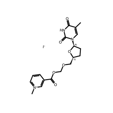 Cc1cn([C@H]2CC[C@@H](COCOC(=O)c3ccc[n+](C)c3)O2)c(=O)[nH]c1=O.[I-]